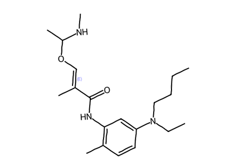 CCCCN(CC)c1ccc(C)c(NC(=O)/C(C)=C/OC(C)NC)c1